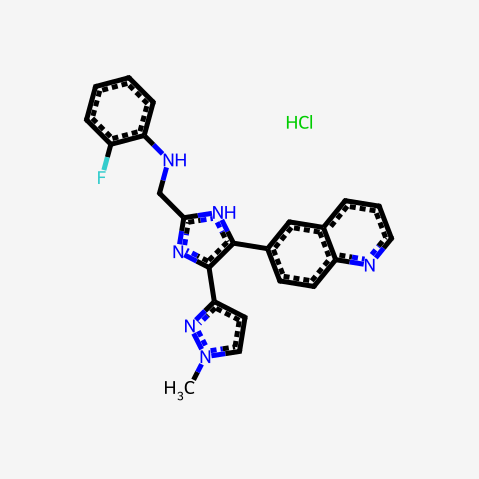 Cl.Cn1ccc(-c2nc(CNc3ccccc3F)[nH]c2-c2ccc3ncccc3c2)n1